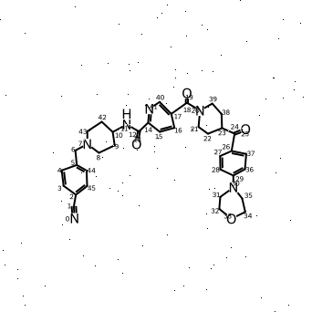 N#Cc1ccc(CN2CCC(NC(=O)c3ccc(C(=O)N4CCC(C(=O)c5ccc(N6CCOCC6)cc5)CC4)cn3)CC2)cc1